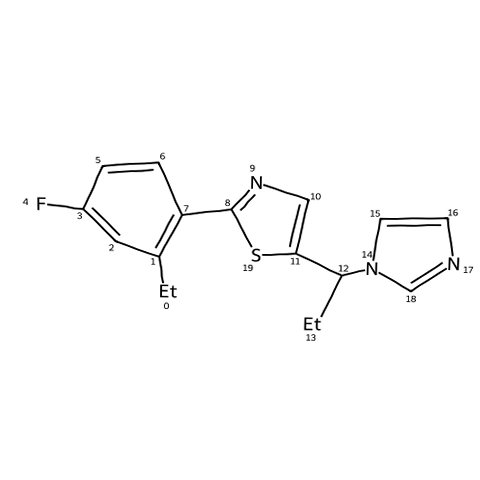 CCc1cc(F)ccc1-c1ncc(C(CC)n2ccnc2)s1